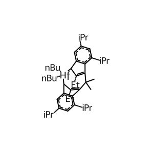 CCC[CH2][Hf]1([CH2]CCC)[CH]2C(CC)=C(c3c(C(C)C)cc(C(C)C)cc32)C(C)(C)C2=C(CC)[CH]1c1cc(C(C)C)cc(C(C)C)c12